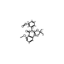 COc1cccc(OC)c1C(=O)C(C(=O)OC(C)(C)C)c1ccccc1.O=P